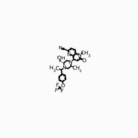 CC(c1ccc(OC(F)(F)F)cc1)N1C[C@H](C)N(c2cc(=O)n(C)c3ccc(C#N)nc23)C[C@H]1CO